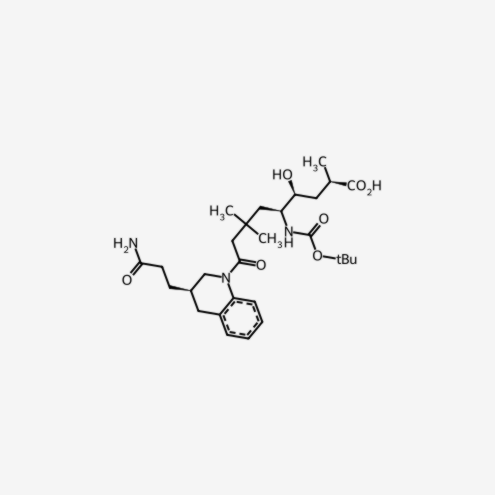 C[C@H](C[C@H](O)[C@H](CC(C)(C)CC(=O)N1C[C@H](CCC(N)=O)Cc2ccccc21)NC(=O)OC(C)(C)C)C(=O)O